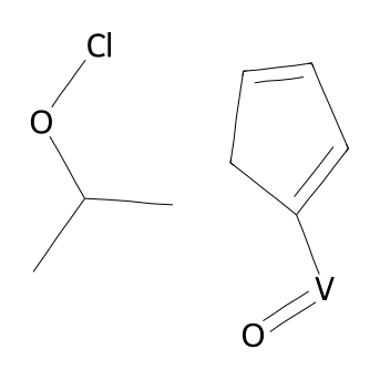 CC(C)OCl.[O]=[V][C]1=CC=CC1